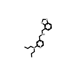 CCCN(CCC)c1cc(CNCc2cccc3c2OCO3)ccn1